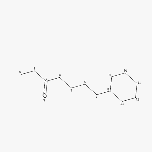 CCC(=O)CCCCC1CCCCC1